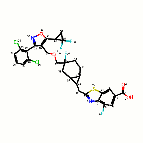 O=C(O)c1cc(F)c2nc(CC3C4CCC(F)(COCc5c(-c6c(Cl)cccc6Cl)noc5C5CC5(F)F)CC43)sc2c1